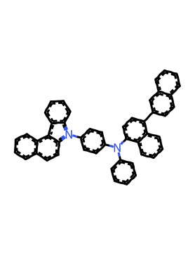 c1ccc(N(c2ccc(-n3c4ccccc4c4c5ccccc5ccc43)cc2)c2ccc(-c3ccc4ccccc4c3)c3ccccc23)cc1